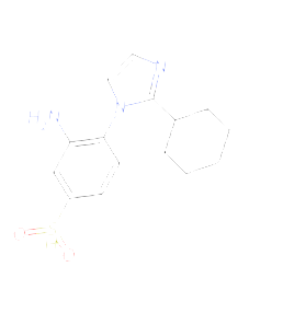 Nc1cc([SH](=O)=O)ccc1-n1ccnc1C1CCCCC1